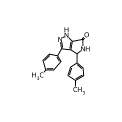 Cc1ccc(-c2n[nH]c3c2C(c2ccc(C)cc2)NC3=O)cc1